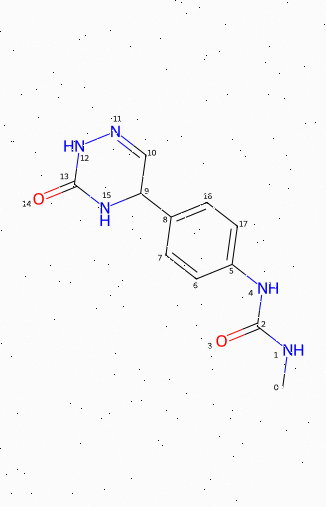 CNC(=O)Nc1ccc(C2C=NNC(=O)N2)cc1